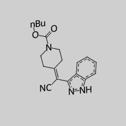 CCCCOC(=O)N1CCC(=C(C#N)c2n[nH]c3ccccc23)CC1